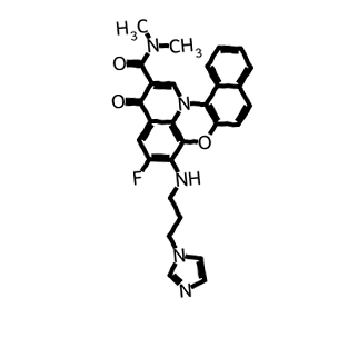 CN(C)C(=O)c1cn2c3c(c(NCCCn4ccnc4)c(F)cc3c1=O)Oc1ccc3ccccc3c1-2